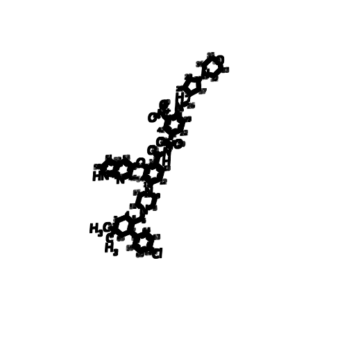 CC1(C)CCC(CN2CCN(c3ccc(C(=O)NS(=O)(=O)c4ccc(NC[C@@H]5CC[C@H](N6CCOCC6)C5)c([N+](=O)[O-])c4)c(Oc4cnc5[nH]ccc5c4)c3)CC2)=C(c2ccc(Cl)cc2)C1